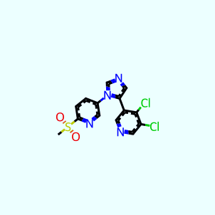 CS(=O)(=O)c1ccc(-n2cncc2-c2cncc(Cl)c2Cl)cn1